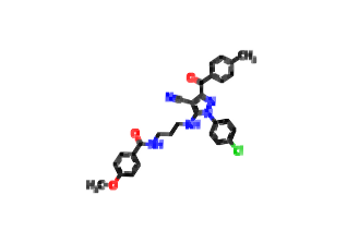 COc1ccc(C(=O)NCCCNc2c(C#N)c(C(=O)c3ccc(C)cc3)nn2-c2ccc(Cl)cc2)cc1